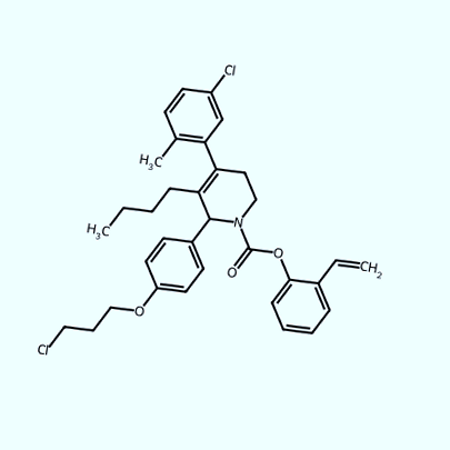 C=Cc1ccccc1OC(=O)N1CCC(c2cc(Cl)ccc2C)=C(CCCC)C1c1ccc(OCCCCl)cc1